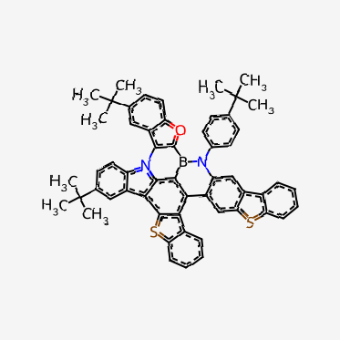 CC(C)(C)c1ccc(N2B3c4oc5ccc(C(C)(C)C)cc5c4-n4c5ccc(C(C)(C)C)cc5c5c6sc7ccccc7c6c(c3c54)-c3cc4sc5ccccc5c4cc32)cc1